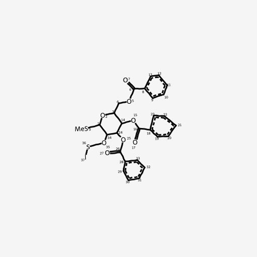 CSC1OC(COC(=O)c2ccccc2)C(OC(=O)c2ccccc2)C(OC(=O)c2ccccc2)C1OSI